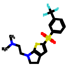 CN(C)CCN1CCc2cc(S(=O)(=O)c3cccc(C(F)(F)F)c3)sc21